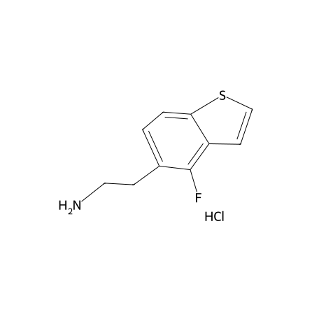 Cl.NCCc1ccc2sccc2c1F